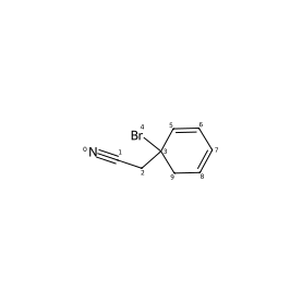 N#CCC1(Br)C=CC=CC1